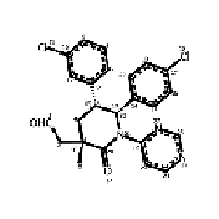 C[C@@]1(CC=O)C[C@H](c2cccc(Cl)c2)[C@@H](c2ccc(Cl)cc2)N(c2ccncn2)C1=O